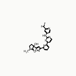 CN1CCC(O)(c2cc(-c3cccc(-c4ccnc(Nc5ccnc(C(F)F)c5)n4)n3)no2)C1=O